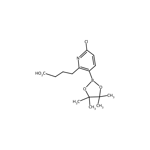 CC1(C)OB(c2ccc(Cl)nc2CCCC(=O)O)OC1(C)C